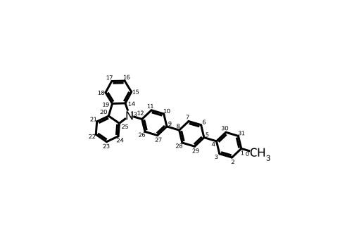 Cc1ccc(-c2ccc(-c3ccc(-n4c5ccccc5c5ccccc54)cc3)cc2)cc1